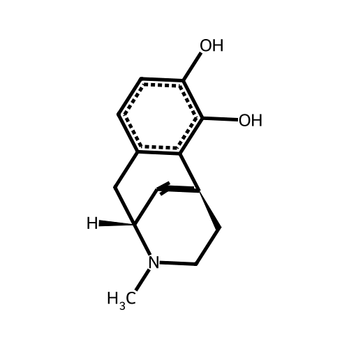 CN1CC[C@]23CCCC=C2[C@H]1Cc1ccc(O)c(O)c13